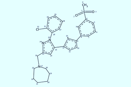 CS(=O)(=O)c1cccc(-c2ccc(-c3cc(CN4CCCCCC4)nn3-c3ccccc3Cl)s2)c1